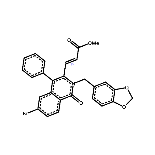 COC(=O)/C=C/c1c(-c2ccccc2)c2cc(Br)ccc2c(=O)n1Cc1ccc2c(c1)OCO2